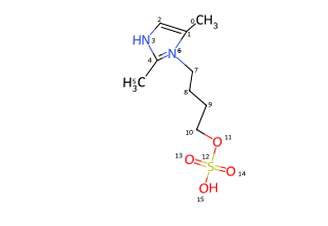 Cc1c[nH]c(C)[n+]1CCCCOS(=O)(=O)O